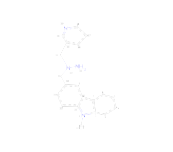 CCn1c2ccccc2c2cc(CN(N)Cc3cccnc3)ccc21